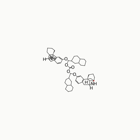 O=C(OC(Oc1ccc2c(c1)[C@@]13CCCC[C@H]1[C@@H](C2)NCC3)C1CCC2CCCCC2C1)OC(Oc1ccc2c(c1)[C@@]13CCCC[C@H]1[C@@H](C2)NCC3)C1CCC2CCCCC2C1